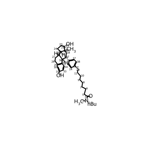 CCCCN(C)C(=O)CCCCCCCSc1ccc([C@H]2C[C@]3(C)[C@@H](O)CC[C@H]3[C@@H]3CCc4cc(O)ccc4[C@H]32)cc1